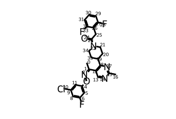 CC(=NOc1cc(F)cc(Cl)c1)c1cnc(C)nc1C1CCN(C(=O)Cc2c(F)cccc2F)CC1